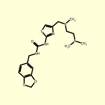 CN(C)CCN(C)Cc1csc(NC(=O)NCc2ccc3c(c2)OCO3)n1